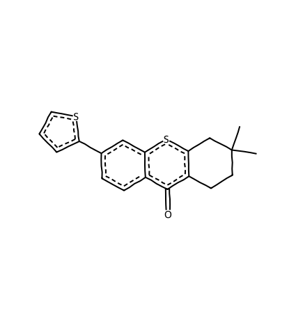 CC1(C)CCc2c(sc3cc(-c4cccs4)ccc3c2=O)C1